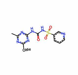 COc1nc(C)nc(NC(=O)NS(=O)(=O)c2cccnc2)n1